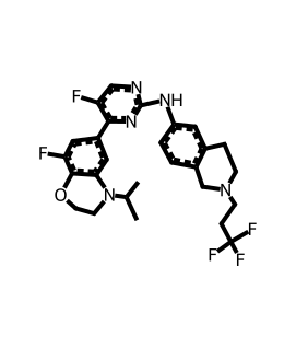 CC(C)N1CCOc2c(F)cc(-c3nc(Nc4ccc5c(c4)CCN(CCC(F)(F)F)C5)ncc3F)cc21